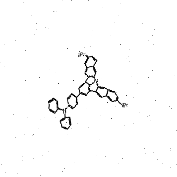 CC(C)c1ccc2cc3c(cc2c1)c1cc(-c2ccc(N(c4ccccc4)c4ccccc4)cc2)cc2c4cc5cc(C(C)C)ccc5cc4n3c12